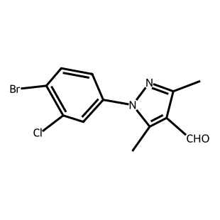 Cc1nn(-c2ccc(Br)c(Cl)c2)c(C)c1C=O